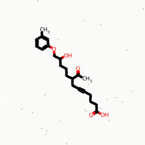 CC(=O)C(CC#CCCCC(=O)O)CCCC(O)COc1cccc(C)c1